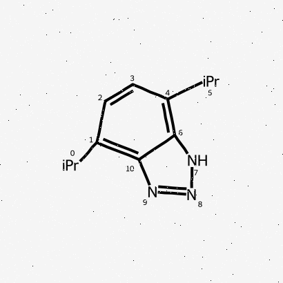 CC(C)c1ccc(C(C)C)c2[nH]nnc12